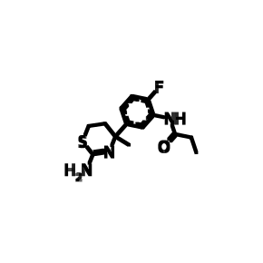 CCC(=O)Nc1cc(C2(C)CCSC(N)=N2)ccc1F